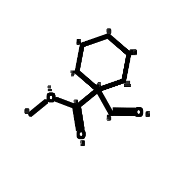 COC(=O)C1(C=O)CCCCC1